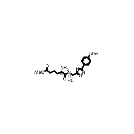 CCCCCCCCCCc1ccc(-c2noc(CNC(=O)[C@@H](N)CCCC(=O)OC)n2)cc1.Cl